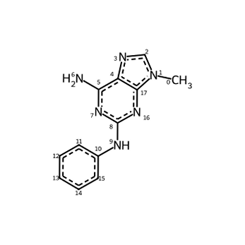 Cn1cnc2c(N)nc(Nc3ccccc3)nc21